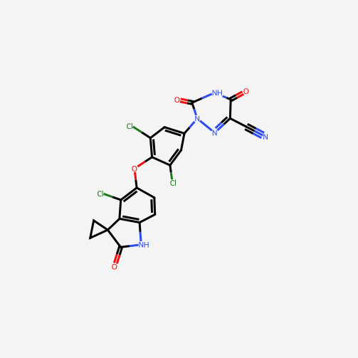 N#Cc1nn(-c2cc(Cl)c(Oc3ccc4c(c3Cl)C3(CC3)C(=O)N4)c(Cl)c2)c(=O)[nH]c1=O